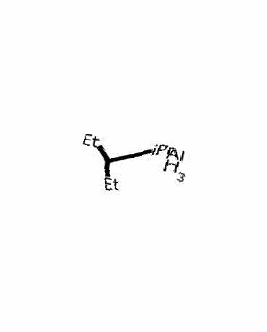 [AlH3].[CH2]C(C)C(CC)CC